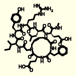 CCC(C)[C@H](NC(=O)CN1C/C=C\CCC(=O)NC(Cc2ccccc2)C(=O)N[C@@H](CCC(=O)O)C1=O)C(=O)N[C@@H](Cc1ccc(O)cc1)C(=O)N[C@@H](CCCNC(=N)N)C(=O)N[C@@H](CC(C)C)C(=O)N[C@@H](CCC(=O)O)C(=O)NC